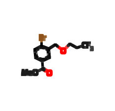 COC(=O)c1ccc(Br)c(COCCC(F)(F)F)c1